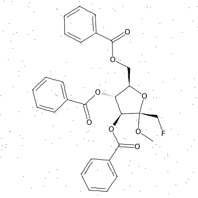 CO[C@@]1(CF)O[C@H](COC(=O)c2ccccc2)[C@@H](OC(=O)c2ccccc2)[C@@H]1OC(=O)c1ccccc1